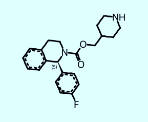 O=C(OCC1CCNCC1)N1CCc2ccccc2[C@@H]1c1ccc(F)cc1